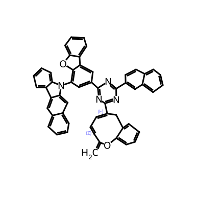 C=C1/C=C\C=C(\c2nc(-c3ccc4ccccc4c3)nc(-c3cc(-n4c5ccccc5c5cc6ccccc6cc54)c4oc5ccccc5c4c3)n2)Cc2ccccc2O1